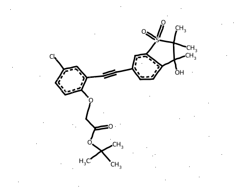 CC(C)(C)OC(=O)COc1ccc(Cl)cc1C#Cc1ccc2c(c1)S(=O)(=O)C(C)(C)C2(C)O